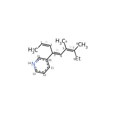 C\C=C/C(=C\C(C)=C(\C)CC)c1cccnc1